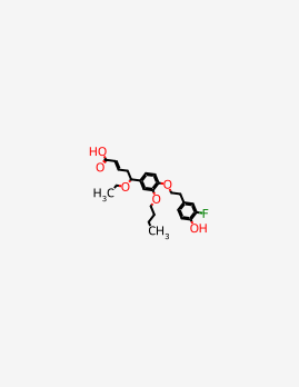 CCCCOc1cc(C(CC=CC(=O)O)OCC)ccc1OCCc1ccc(O)c(F)c1